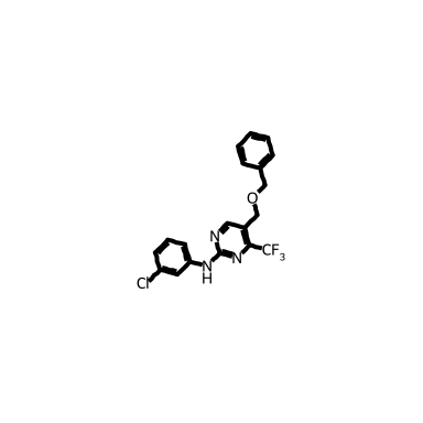 FC(F)(F)c1nc(Nc2cccc(Cl)c2)ncc1COCc1ccccc1